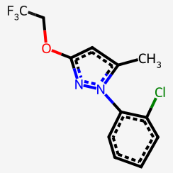 Cc1cc(OCC(F)(F)F)nn1-c1ccccc1Cl